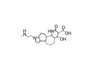 CNCCn1ccc2c3c(ccc21)-c1[nH]c(=O)c(C(=O)O)c(O)c1CCC3